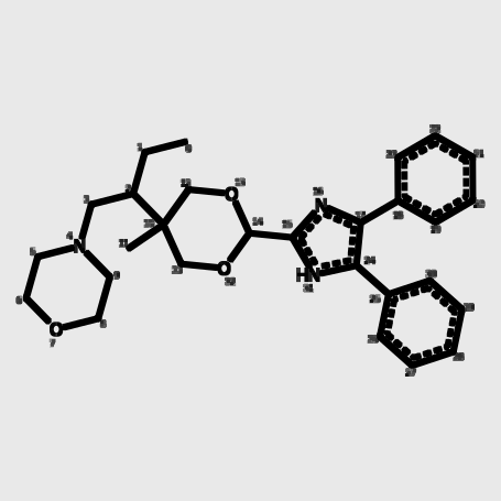 CCC(CN1CCOCC1)C1(C)COC(c2nc(-c3ccccc3)c(-c3ccccc3)[nH]2)OC1